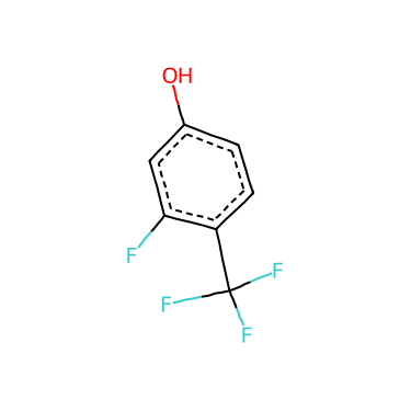 Oc1ccc(C(F)(F)F)c(F)c1